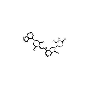 O=C1CCC(N2Cc3c(NC=C4C(=O)CC(c5cccc6sccc56)CC4=O)cccc3C2=O)C(=O)N1